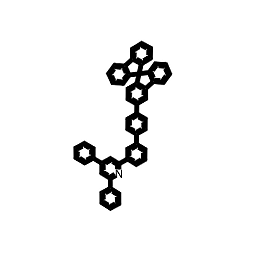 c1ccc(-c2cc(-c3ccccc3)nc(-c3cccc(-c4ccc(-c5ccc6c(c5)-c5ccccc5C65c6ccccc6-c6ccccc65)cc4)c3)c2)cc1